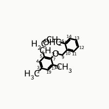 C=C.Cc1cc(C)c(OCc2ccccc2C=O)c(C)c1